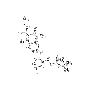 CCOC(=O)c1c(O)c2ncc(Cc3ccc(F)cc3OCC(=O)OC(C)(C)C)cc2n(C)c1=O